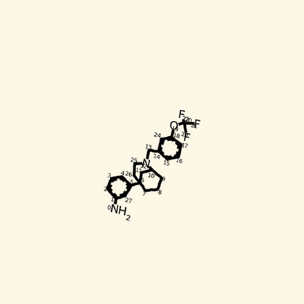 Nc1cccc(C23CCCC(C2)N(Cc2cccc(OC(F)(F)F)c2)CC3)c1